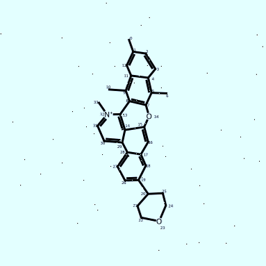 Cc1ccc2c(C)c3c(c(C)c2c1)-c1c2c(cc4cc(C5CCOCC5)ccc4c2cc[n+]1C)O3